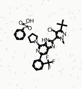 Cn1nc(C(C)(C)C)c(Cl)c1-c1nc2cc(-c3ccccc3C(F)(F)F)nc(N3CCCC3)c2[nH]1.O=S(=O)(O)c1ccccc1